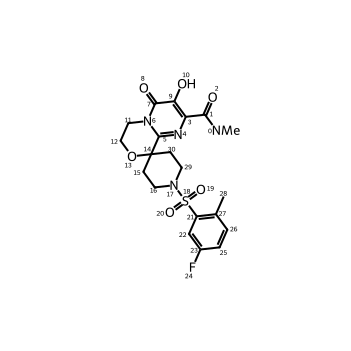 CNC(=O)c1nc2n(c(=O)c1O)CCOC21CCN(S(=O)(=O)c2cc(F)ccc2C)CC1